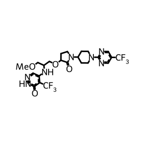 COCC(COC1CCN(C2CCN(c3ncc(C(F)(F)F)cn3)CC2)C1=O)Nc1cn[nH]c(=O)c1C(F)(F)F